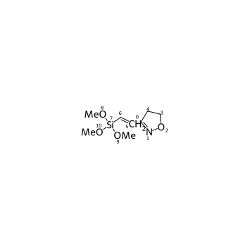 C1=NOCC1.C=C[Si](OC)(OC)OC